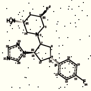 N[C@@H]1C[C@@H](F)CN(C2C[C@H](c3ccc(F)cc3)C[C@H]2n2cncn2)C1